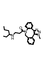 CCCC(CC)NCCC(=O)N1Cc2ccccc2-c2c(nnn2C)-c2ccccc21